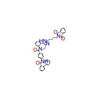 O=C(Nc1ccc(C(=O)N2CCc3nc(CCCCN4C(=O)c5ccccc5C4=O)[nH]c3-c3ccccc32)cc1)c1ccccc1-c1ccccc1